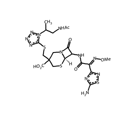 CON=C(C(=O)NC1C(=O)N2CC(CSc3nnnn3C(C)CNC(C)=O)(C(=O)O)CS[C@H]12)c1nsc(N)n1